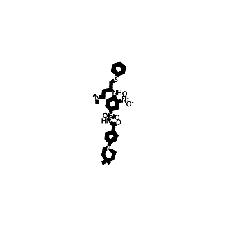 CN(C)CCC(CSc1ccccc1)Nc1ccc(S(=O)(=O)NC(=O)c2ccc(N3CCC(C)(C)CC3)cc2)cc1[N+](=O)[O-]